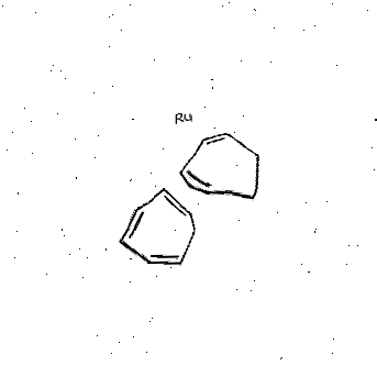 C1=CCCC=C1.[Ru].c1ccccc1